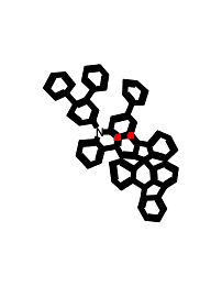 c1ccc(-c2cccc(N(c3ccc(-c4ccccc4)c(-c4ccccc4)c3)c3ccccc3-c3ccc4c(c3)C3(c5ccccc5-4)c4ccccc4C4c5ccccc5-c5cccc3c54)c2)cc1